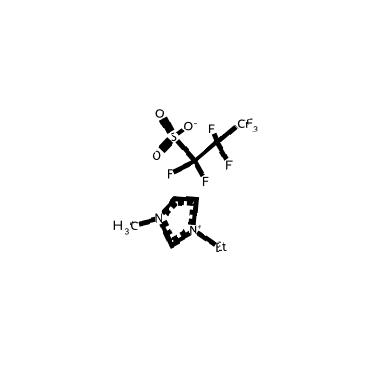 CC[n+]1ccn(C)c1.O=S(=O)([O-])C(F)(F)C(F)(F)C(F)(F)F